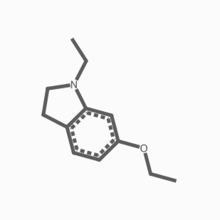 CCOc1ccc2c(c1)N(CC)CC2